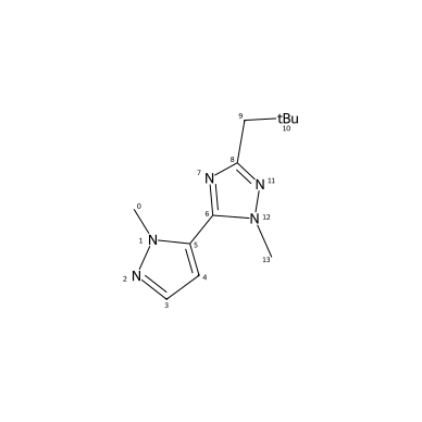 Cn1nccc1-c1nc(CC(C)(C)C)nn1C